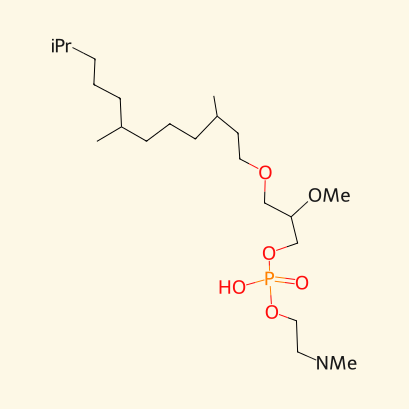 CNCCOP(=O)(O)OCC(COCCC(C)CCCC(C)CCCC(C)C)OC